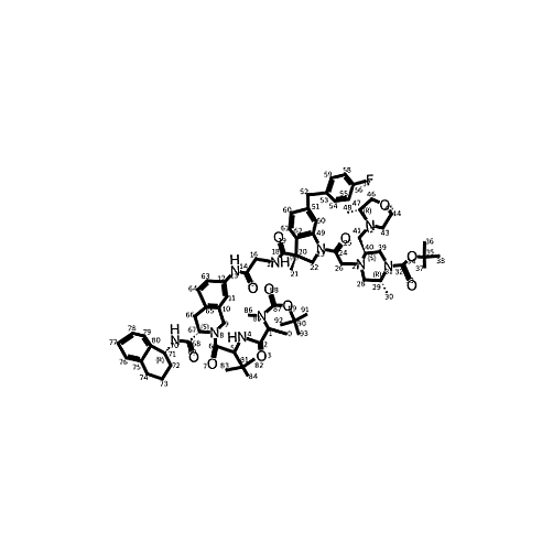 CC(C(=O)NC(C(=O)N1Cc2cc(NC(=O)CNC(=O)[C@@]3(C)CN(C(=O)CN4C[C@@H](C)N(C(=O)OC(C)(C)C)C[C@@H]4CN4CCOC[C@H]4C)c4cc(Cc5ccc(F)cc5)ccc43)ccc2C[C@H]1C(=O)N[C@@H]1CCCc2ccccc21)C(C)(C)C)N(C)C(=O)OC(C)(C)C